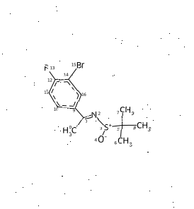 CC(=N[S+]([O-])C(C)(C)C)c1ccc(F)c(Br)c1